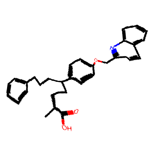 CC(CCC(CCCc1ccccc1)c1ccc(OCc2ccc3ccccc3n2)cc1)C(=O)O